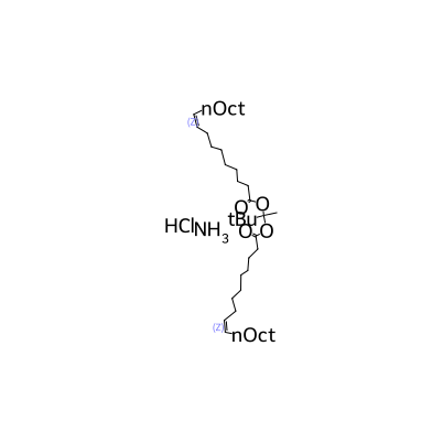 CCCCCCCC/C=C\CCCCCCCC(=O)OC(C)(OC(=O)CCCCCCC/C=C\CCCCCCCC)C(C)(C)C.Cl.N